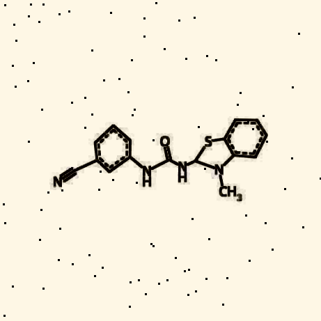 CN1c2ccccc2SC1NC(=O)Nc1cccc(C#N)c1